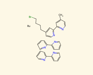 Cc1ccnc(-c2cc(CCCCBr)ccn2)c1.[Ru].c1ccc(-c2ccccn2)nc1.c1ccc(-c2ccccn2)nc1